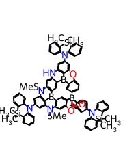 CSN1c2cc3c(cc2B2c4cc5c(cc4N(SC)c4cc(N6c7ccccc7[Si](C)(C)c7ccccc76)cc1c42)Oc1cc(N2c4ccccc4[Si](C)(C)c4ccccc42)cc2c1B5c1ccccc1O2)B1c2ccccc2Oc2cc(N4c5ccccc5[Si](C)(C)c5ccccc54)cc(c21)N3